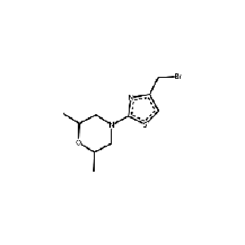 CC1CN(c2nc(CBr)cs2)CC(C)O1